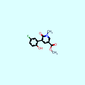 COC(=O)c1cc(-c2cc(F)ccc2O)c(=O)n(C)c1